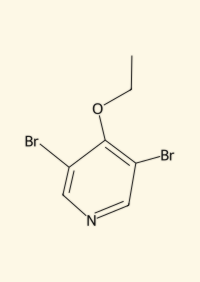 CCOc1c(Br)cncc1Br